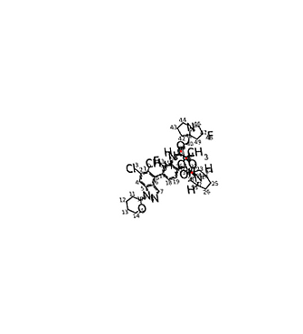 Cc1c(Cl)cc2c(cnn2C2CCCCO2)c1-c1ccc2c(N3C[C@H]4CC[C@@H](C3)N4C(=O)OC(C)(C)C)nc(OC[C@@]34CCCN3C[C@H](F)C4)nc2c1F